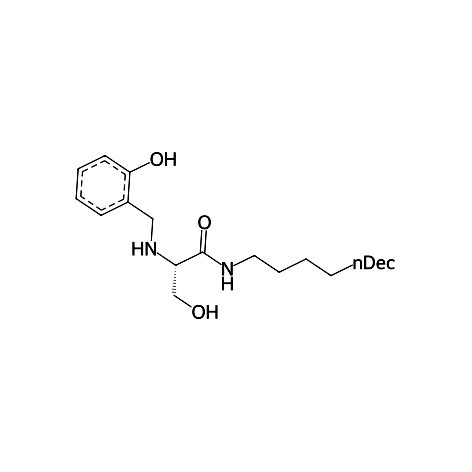 CCCCCCCCCCCCCCNC(=O)[C@H](CO)NCc1ccccc1O